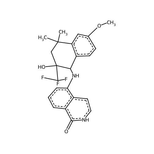 COc1ccc2c(c1)C(C)(C)CC(O)(C(F)(F)F)C2Nc1cccc2c(=O)[nH]ccc12